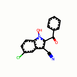 N#Cc1c(C(=O)c2ccccc2)n(O)c2ccc(Cl)cc12